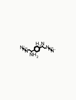 [N-]=[N+]=NCC(N)c1ccc(C(N)CN=[N+]=[N-])cc1